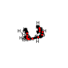 Cc1ncsc1-c1ccc(CNC(=O)[C@@H]2C[C@@H](O)CN2C(=O)[C@@H](NC(=O)CCCCCCCC(=O)NCCN2CCN(C(=O)c3ccc(Nc4nc(C5CC5)cn5c(-c6cn[nH]c6)cnc45)c(F)c3)CC2)C(C)(C)C)cc1